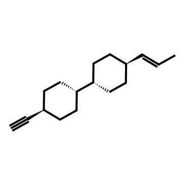 C#C[C@H]1CC[C@H]([C@H]2CC[C@H](C=CC)CC2)CC1